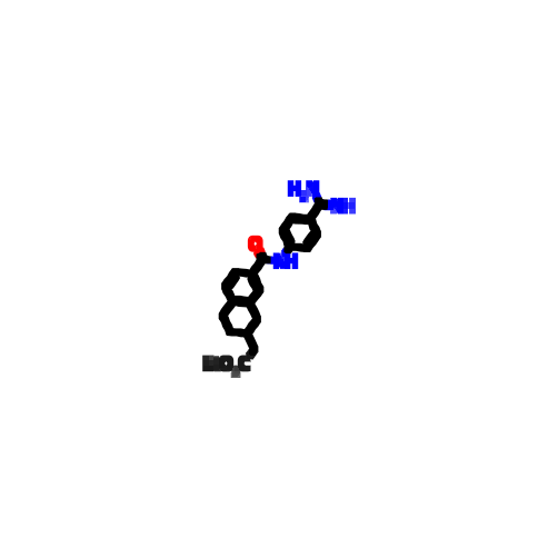 CCOC(=O)CC1CCc2ccc(C(=O)Nc3ccc(C(=N)N)cc3)cc2C1